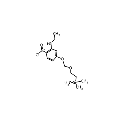 CCNc1cc(OCOCC[Si](C)(C)C)ccc1[N+](=O)[O-]